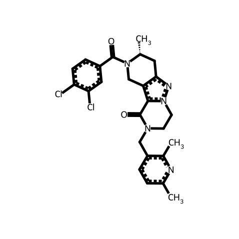 Cc1ccc(CN2CCn3nc4c(c3C2=O)CN(C(=O)c2ccc(Cl)c(Cl)c2)[C@H](C)C4)c(C)n1